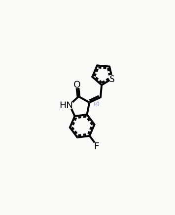 O=C1Nc2ccc(F)cc2/C1=C/c1cccs1